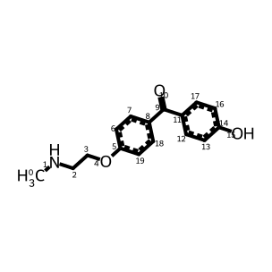 CNCCOc1ccc(C(=O)c2ccc(O)cc2)cc1